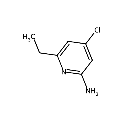 CCc1cc(Cl)cc(N)n1